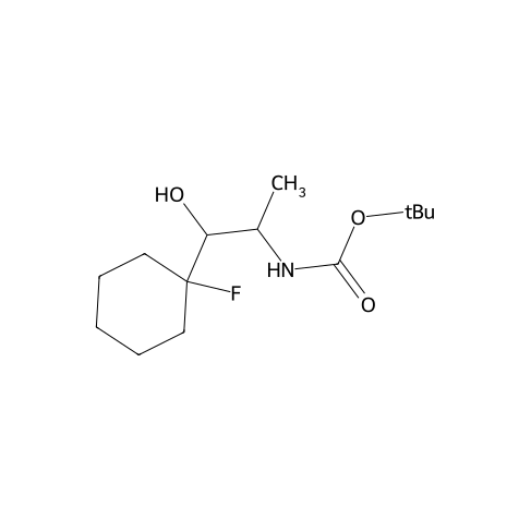 CC(NC(=O)OC(C)(C)C)C(O)C1(F)CCCCC1